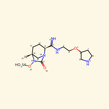 N=C(NCCOC1CCNC1)[C@@H]1CC[C@@H]2CN1C(=O)N2OS(=O)(=O)O